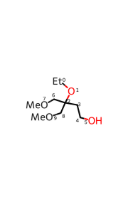 CCOC(CCO)(COC)COC